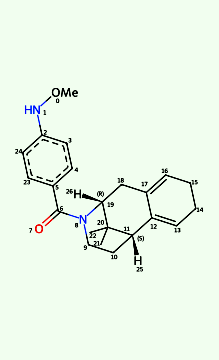 CONc1ccc(C(=O)N2CC[C@H]3C4=CCCC=C4C[C@@H]2C3(C)C)cc1